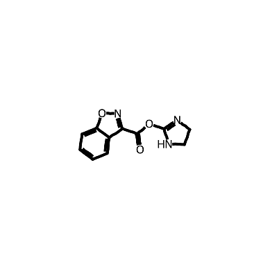 O=C(OC1=NCCN1)c1noc2ccccc12